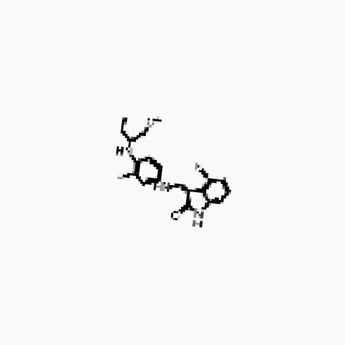 CCC(COC)Nc1ccc(NC=C2C(=O)Nc3cccc(F)c32)cc1F